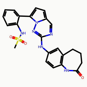 CS(=O)(=O)Nc1ccccc1-c1ccc2cnc(Nc3ccc4c(c3)CCCC(=O)N4)nn12